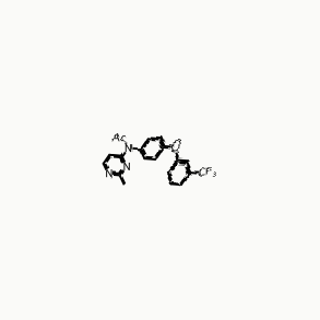 CC(=O)N(c1ccc(Oc2cccc(C(F)(F)F)c2)cc1)c1ccnc(C)n1